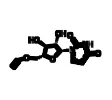 C#COC[C@H]1O[C@@H](n2ccc(=O)[nH]c2=O)[C@@H](O)[C@@H]1O